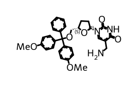 COc1ccc(C(OC[C@@H]2CC[C@H](n3cc(CN)c(=O)[nH]c3=O)O2)(c2ccccc2)c2ccc(OC)cc2)cc1